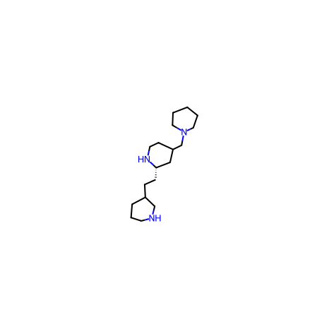 C1CCN(CC2CCN[C@@H](CCC3CCCNC3)C2)CC1